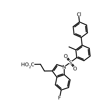 Cc1c(-c2ccc(Cl)cc2)cccc1S(=O)(=O)n1cc(CCC(=O)O)c2cc(F)ccc21